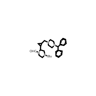 CC(C)(C)N1CCN(C=O)C(C2CC2CN2CCN(C(c3ccccc3)c3ccccc3)CC2)C1